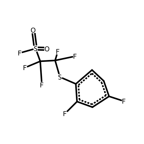 O=S(=O)(F)C(F)(F)C(F)(F)Sc1ccc(F)cc1F